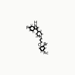 CC(=O)c1ccc(OCCCN2CCC(c3c[nH]c4cc(F)ccc34)CC2)c(Br)c1